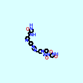 Cn1c(=O)n(C2CCC(=O)NC2=O)c2cccc(N3CCC(CN4CCN(c5ccc(-c6cc(-c7cc8c([nH]7)CCNC8=O)ccn6)cc5)CC4)CC3)c21